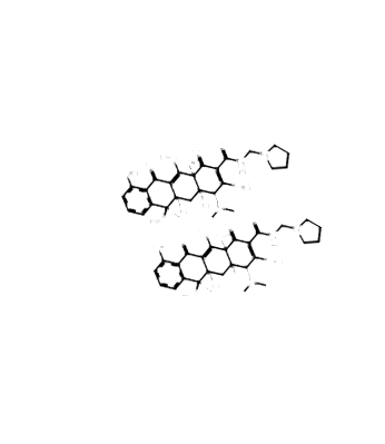 CN(C)[C@@H]1C(O)=C(C(=O)NCN2CCCC2)C(=O)[C@@]2(O)C(O)=C3C(=O)c4c(O)cccc4[C@@](C)(O)[C@H]3C[C@@H]12.CN(C)[C@@H]1C(O)=C(C(=O)NCN2CCCC2)C(=O)[C@@]2(O)C(O)=C3C(=O)c4c(O)cccc4[C@@](C)(O)[C@H]3C[C@@H]12